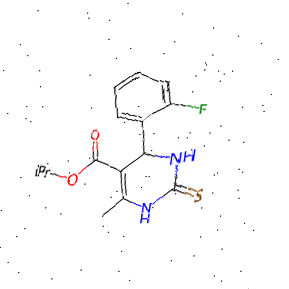 CC1=C(C(=O)OC(C)C)C(c2ccccc2F)NC(=S)N1